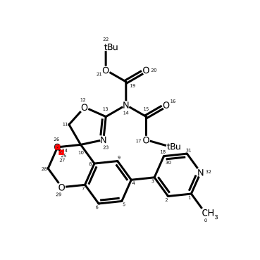 Cc1cc(-c2ccc3c(c2)C2(COC(N(C(=O)OC(C)(C)C)C(=O)OC(C)(C)C)=N2)C2(COC2)CO3)ccn1